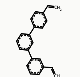 C=Cc1ccc(-c2cccc(-c3cccc(C=C)c3)c2)cc1